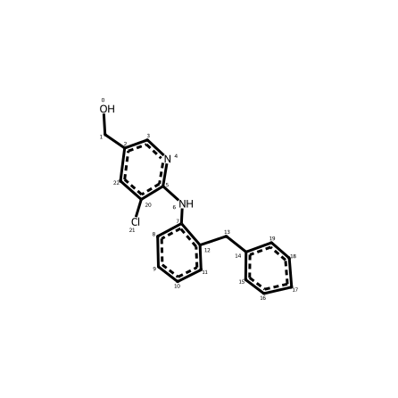 OCc1cnc(Nc2ccccc2Cc2ccccc2)c(Cl)c1